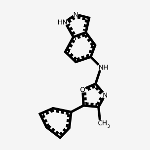 Cc1nc(Nc2ccc3[nH]ncc3c2)oc1-c1ccccc1